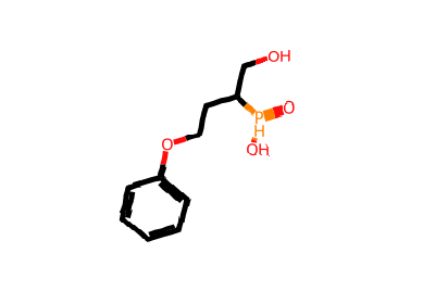 O=[PH](O)C(CO)CCOc1ccccc1